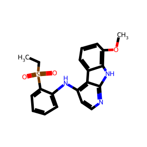 CCS(=O)(=O)c1ccccc1Nc1ccnc2[nH]c3c(OC)cccc3c12